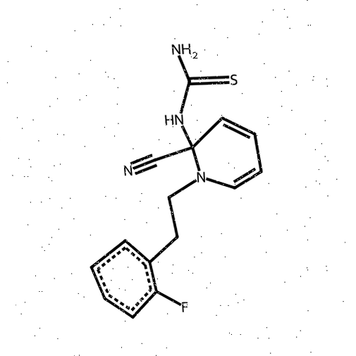 N#CC1(NC(N)=S)C=CC=CN1CCc1ccccc1F